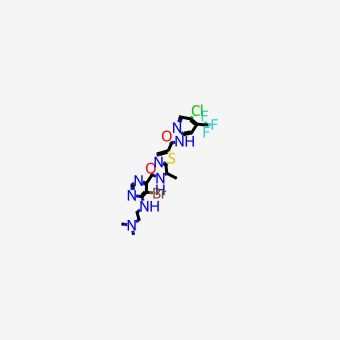 CC(NC(=O)c1ncnc(NCCN(C)C)c1Br)c1ncc(C(=O)Nc2cc(C(F)(F)F)c(Cl)cn2)s1